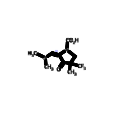 CN(C)/C=C1\C(=O)C(C)(C(F)(F)F)CN1C(=O)O